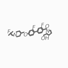 CC(C)(F)CN1CCC(COc2ccc(-c3ccc(C(=O)N4CCCC4CO)c(F)c3)c(F)c2)CC1